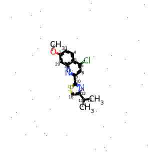 COc1ccc2c(Cl)cc(-c3nc(C(C)C)cs3)nc2c1